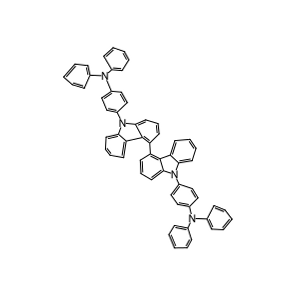 c1ccc(N(c2ccccc2)c2ccc(-n3c4ccccc4c4c(-c5cccc6c5c5ccccc5n6-c5ccc(N(c6ccccc6)c6ccccc6)cc5)cccc43)cc2)cc1